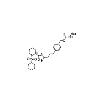 CC(C)(C)NC(=O)OCc1ccc(CCCc2noc([C@@H]3CCCCN3S(=O)(=O)C3CCCCC3)n2)cc1